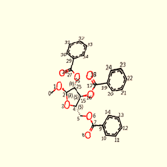 CO[C@@H]1O[C@@H](COC(=O)c2ccccc2)[C@H](OC(=O)c2ccccc2)[C@H]1OC(=O)c1ccccc1